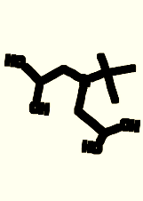 CC(C)(C)N(CC(O)O)CC(O)O